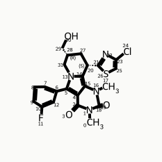 Cn1c(=O)c2c(-c3cccc(F)c3)n3c(c2n(C)c1=O)[C@@H](c1nc(Cl)cs1)C[C@@H](CO)C3